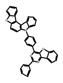 c1ccc(-c2nc(-c3ccc(-n4c5ccccc5c5c6c(ccc54)oc4ccccc46)cc3)c3oc4ccccc4c3n2)cc1